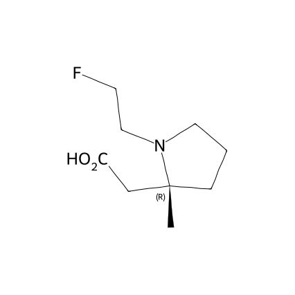 C[C@]1(CC(=O)O)CCCN1CCF